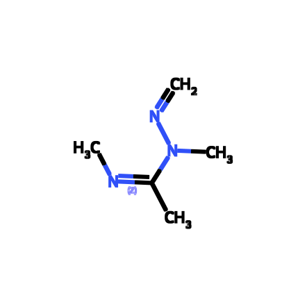 C=NN(C)/C(C)=N\C